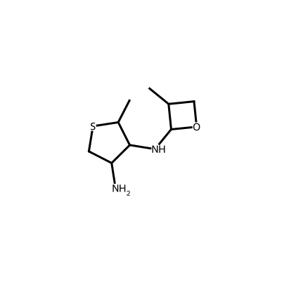 CC1COC1NC1C(N)CSC1C